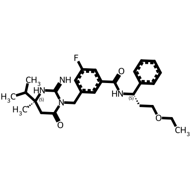 CCOCC[C@H](NC(=O)c1cc(F)cc(CN2C(=N)N[C@](C)(C(C)C)CC2=O)c1)c1ccccc1